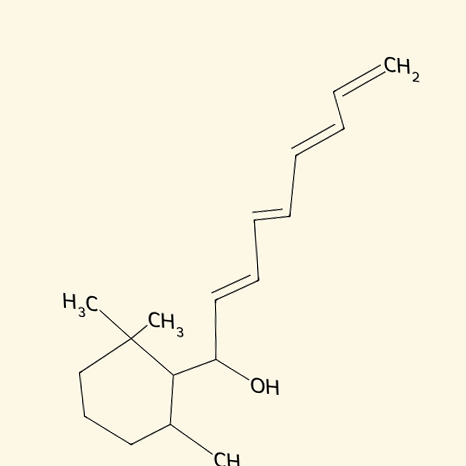 C=CC=CC=CC=CC(O)C1C(C)CCCC1(C)C